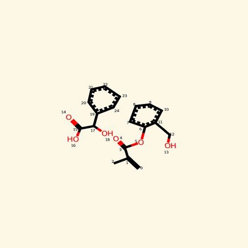 C=C(C)C(=O)Oc1ccccc1CO.O=C(O)C(O)c1ccccc1